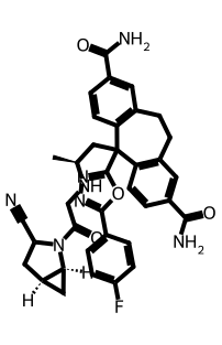 C[C@@H](CC1(c2nnc(-c3ccc(F)cc3)o2)c2ccc(C(N)=O)cc2CCc2cc(C(N)=O)ccc21)NCC(=O)N1C(C#N)C[C@@H]2C[C@@H]21